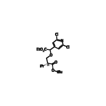 CCOC(=O)C(OC[C@H](C(=O)OC(C)(C)C)C(C)C)c1cc(Cl)nc(Cl)c1